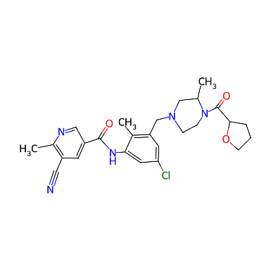 Cc1ncc(C(=O)Nc2cc(Cl)cc(CN3CCN(C(=O)C4CCCO4)C(C)C3)c2C)cc1C#N